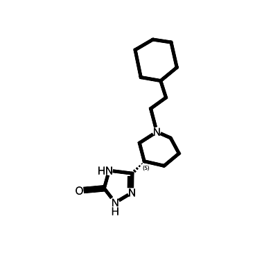 O=c1[nH]nc([C@H]2CCCN(CCC3CCCCC3)C2)[nH]1